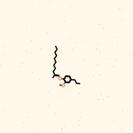 CCCCCCCCC/C(C)=C/Oc1ccc(CCC)cc1OC